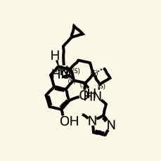 Cn1ccnc1CN[C@H]1CC[C@]12CC[C@@]1(O)[C@H]3Cc4ccc(O)c5c4[C@@]1(CCN3CC1CC1)[C@H]2O5